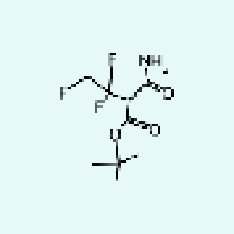 CC(C)(C)OC(=O)C(C(N)=O)C(F)(F)CF